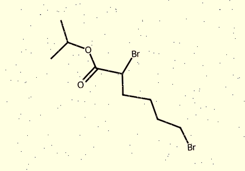 CC(C)OC(=O)C(Br)CCCCBr